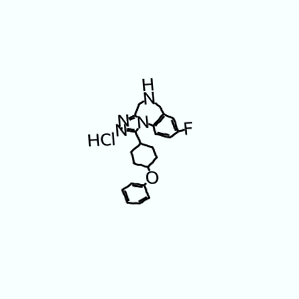 Cl.Fc1ccc2c(c1)CNCc1nnc(C3CCC(Oc4ccccc4)CC3)n1-2